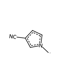 [CH2]n1ccc(C#N)c1